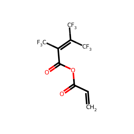 C=CC(=O)OC(=O)C(=C(C(F)(F)F)C(F)(F)F)C(F)(F)F